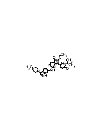 C=CCn1c(=O)c2cnc(Nc3ccc4c(N5CCN(C)CC5)c[nH]c4c3)nc2n1-c1ccc(=O)n(C(C)C)n1